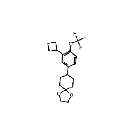 FC(F)(F)Oc1ccc(C2CCC3(CC2)OCCO3)cc1C1CCC1